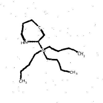 CCC[CH2][Sn]([CH2]CCC)([CH2]CCC)[CH]1CCCCCN1